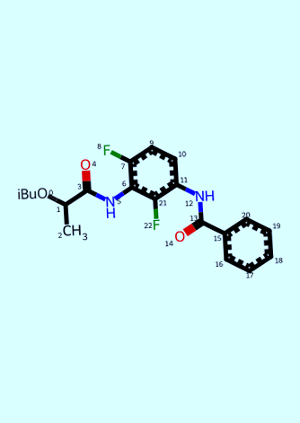 CC(C)COC(C)C(=O)Nc1c(F)ccc(NC(=O)c2ccccc2)c1F